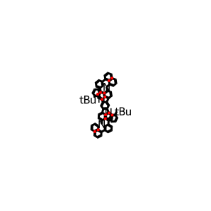 CC(C)(C)c1cccc2c3c(N(c4ccccc4)c4c(-c5ccccc5)cccc4-c4ccccc4)ccc4c5cc6c(cc5n(c12)c43)c1ccc(N(c2ccccc2)c2c(-c3ccccc3)cccc2-c2ccccc2)c2c3cccc(C(C)(C)C)c3n6c12